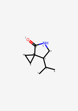 CC(C)C1CNC(=O)C12CC2